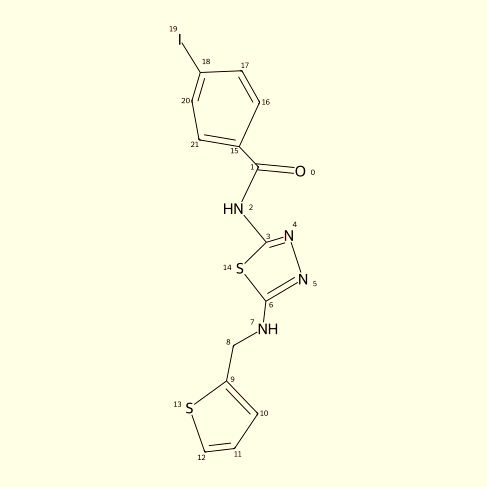 O=C(Nc1nnc(NCc2cccs2)s1)c1ccc(I)cc1